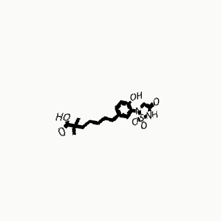 CC(C)(CCCCCc1ccc(O)c(N2CC(=O)NS2(=O)=O)c1)C(=O)O